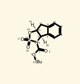 CC(C)(C)OC(=O)N1[C@@H]2c3ccccc3C[C@@H]2OS1(=O)=O